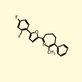 CC1=C(c2ccccc2)CCCC(c2ccc(-c3ccc(F)cc3F)o2)=N1